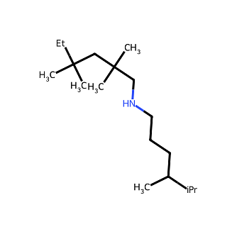 CCC(C)(C)CC(C)(C)CNCCCC(C)C(C)C